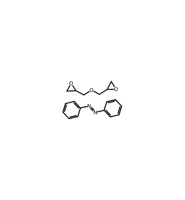 C(OCC1CO1)C1CO1.c1ccc(N=Nc2ccccc2)cc1